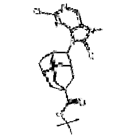 Cn1c(=O)n(C2C3CC4CC2CC(C(=O)OC(C)(C)C)(C4)C3)c2nc(Cl)ncc21